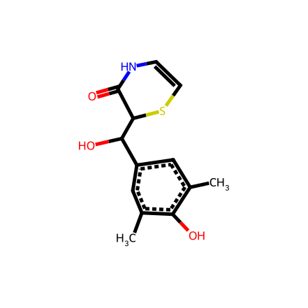 Cc1cc(C(O)C2SC=CNC2=O)cc(C)c1O